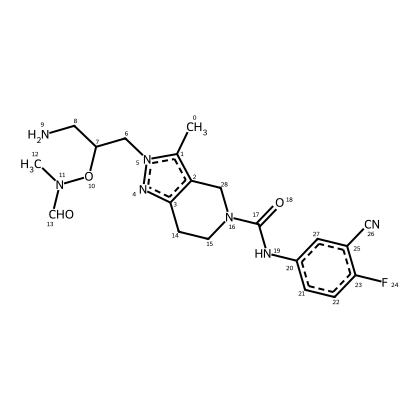 Cc1c2c(nn1CC(CN)ON(C)C=O)CCN(C(=O)Nc1ccc(F)c(C#N)c1)C2